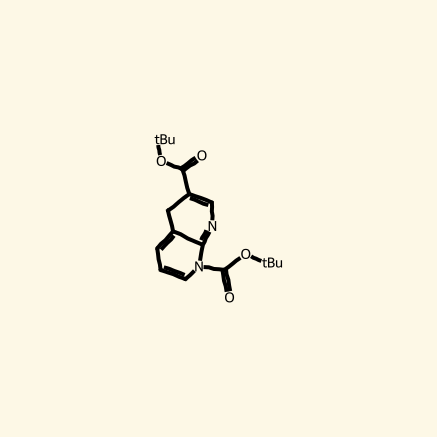 CC(C)(C)OC(=O)C1=CN=C2C(=CC=CN2C(=O)OC(C)(C)C)C1